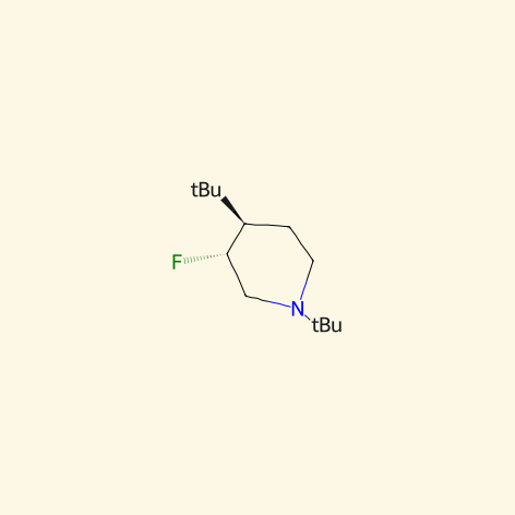 CC(C)(C)[C@H]1CCN(C(C)(C)C)C[C@@H]1F